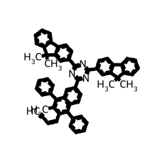 C#C/C=C\c1c(C)c(-c2ccccc2)c2cc(-c3nc(-c4ccc5c(c4)C(C)(C)c4ccccc4-5)nc(-c4ccc5c(c4)C(C)(C)c4ccccc4-5)n3)ccc2c1-c1ccccc1